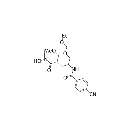 CCOCOCC(CC(COC)C(=O)NO)NC(=O)c1ccc(C#N)cc1